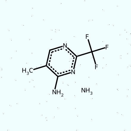 Cc1cnc(C(F)(F)F)nc1N.N